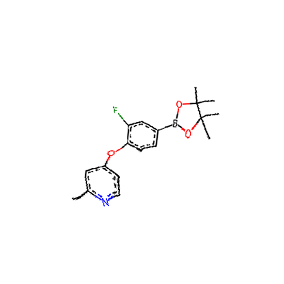 Cc1cc(Oc2ccc(B3OC(C)(C)C(C)(C)O3)cc2F)ccn1